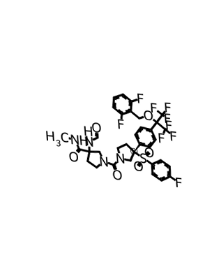 CNC(=O)C1(NC=O)CCN(C(=O)N2CC[C@](c3ccc(C(OCc4c(F)cccc4F)(C(F)(F)F)C(F)(F)F)cc3)(S(=O)(=O)c3ccc(F)cc3)C2)C1